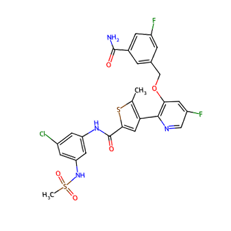 Cc1sc(C(=O)Nc2cc(Cl)cc(NS(C)(=O)=O)c2)cc1-c1ncc(F)cc1OCc1cc(F)cc(C(N)=O)c1